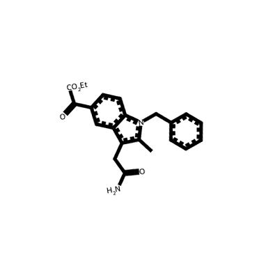 CCOC(=O)C(=O)c1ccc2c(c1)c(CC(N)=O)c(C)n2Cc1ccccc1